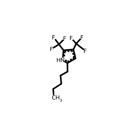 CCCCCc1cc(C(F)(F)F)c(C(F)(F)F)[nH]1